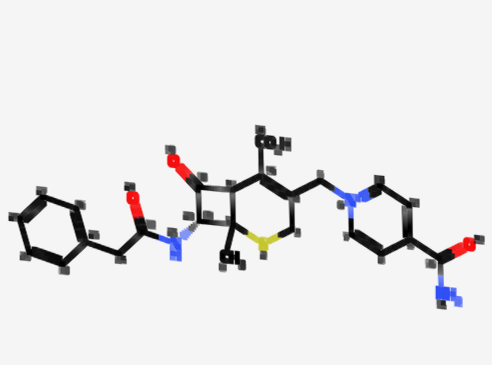 CC12SCC(C[n+]3ccc(C(N)=O)cc3)=C(C(=O)O)C1C(=O)[C@H]2NC(=O)Cc1ccccc1